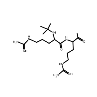 CC(=O)C(CCCNC(=N)N)NC(=O)C(CCCNC(=N)N)NC(C)(C)C